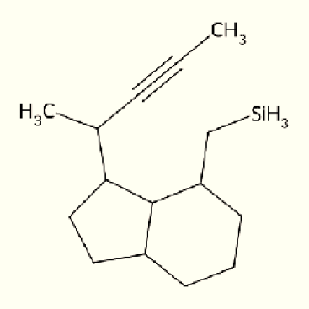 CC#CC(C)C1CCC2CCCC(C[SiH3])C21